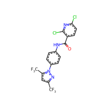 O=C(Nc1ccc(-n2nc(C(F)(F)F)cc2C(F)(F)F)cc1)c1ccc(Cl)nc1Cl